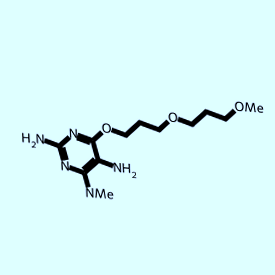 CNc1nc(N)nc(OCCCOCCCOC)c1N